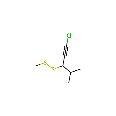 CSSC(C#CCl)C(C)C